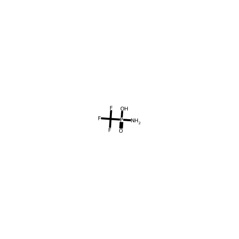 NP(=O)(O)C(F)(F)F